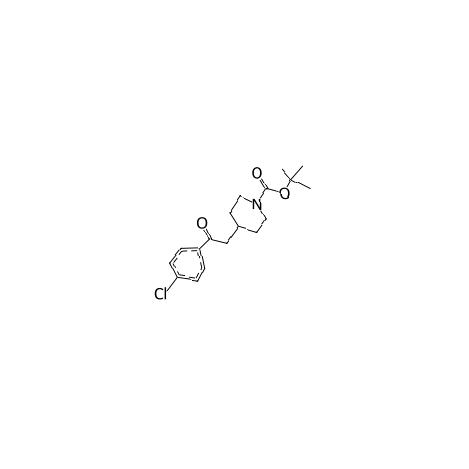 CC(C)(C)OC(=O)N1CCC(CC(=O)c2ccc(Cl)cc2)CC1